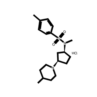 Cc1ccc(S(=O)(=O)N(C)[C@H]2CC[C@@H](N3CCC(C)CC3)C2)cc1.Cl